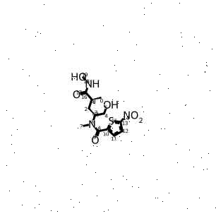 C[C@@H](C[C@@H](CO)N(C)C(=O)c1ccc([N+](=O)[O-])s1)C(=O)NO